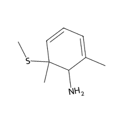 CSC1(C)C=CC=C(C)C1N